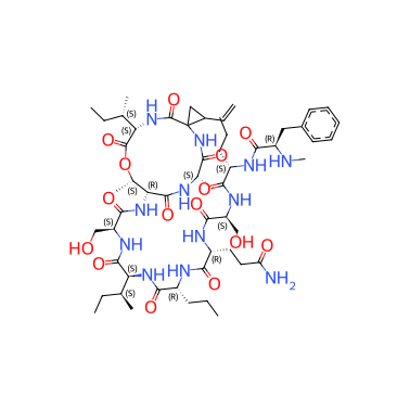 C=CC1CC12NC(=O)[C@H](C)NC(=O)[C@H](NC(=O)[C@H](CO)NC(=O)[C@@H](NC(=O)[C@@H](CCC)NC(=O)[C@@H](CCC(N)=O)NC(=O)[C@H](CO)NC(=O)[C@H](CCC)NC(=O)[C@@H](Cc1ccccc1)NC)[C@@H](C)CC)[C@H](C)OC(=O)[C@H]([C@@H](C)CC)NC2=O